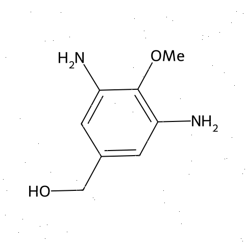 COc1c(N)cc(CO)cc1N